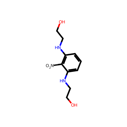 O=[N+]([O-])c1c(NCCO)cccc1NCCO